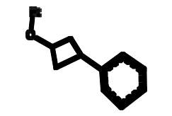 CCOC1CC(c2ccccc2)C1